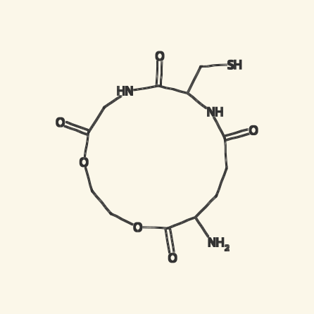 NC1CCC(=O)NC(CS)C(=O)NCC(=O)OCCOC1=O